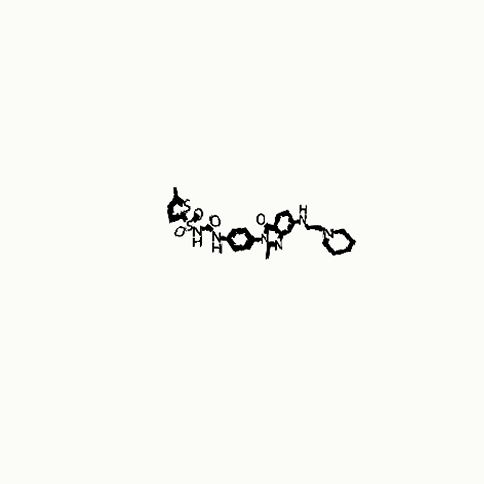 Cc1ccc(S(=O)(=O)NC(=O)Nc2ccc(-n3c(C)nc4cc(NCCN5CCCCC5)ccc4c3=O)cc2)s1